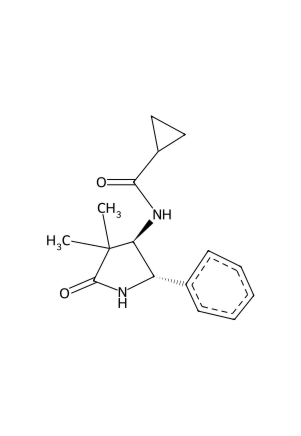 CC1(C)C(=O)N[C@@H](c2ccccc2)[C@@H]1NC(=O)C1CC1